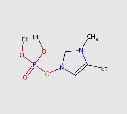 CCOP(=O)(OCC)ON1C=C(CC)N(C)C1